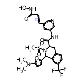 CN(C)c1ccc(C2c3cc(C(F)(F)F)ccc3CC(C(=O)Nc3cncc(/C=C/C(=O)NO)c3)N2S(C)(=O)=O)o1